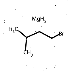 CC(C)CCBr.[MgH2]